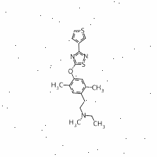 CCN(C)CCc1cc(C)c(Oc2nc(-c3ccsc3)ns2)cc1C